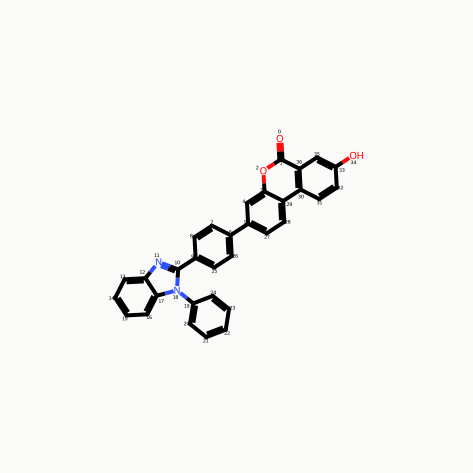 O=c1oc2cc(-c3ccc(-c4nc5ccccc5n4-c4ccccc4)cc3)ccc2c2ccc(O)cc12